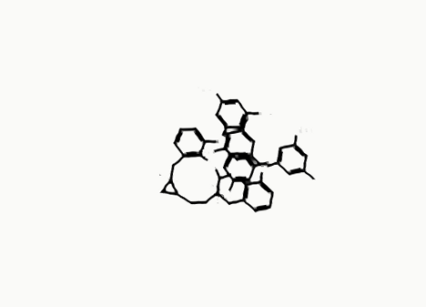 CCCCc1cc(I)cc(P(c2cc(CCCC)cc(C(C)(C)C)c2)c2cccc3c2OC2Oc4c(cccc4P(c4cc(I)cc(CCCC)c4)c4cc(I)cc(C(C)(C)C)c4)C[C@H]2CCC2C[C@H]2C3)c1